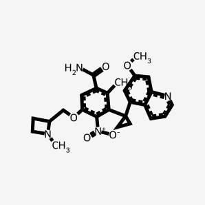 COc1cc(C2(c3c(C)c(C(N)=O)cc(OCC4CCN4C)c3[N+](=O)[O-])CC2)c2cccnc2c1